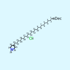 CCCCCCCCCCCCCCCCCCCCCCCCCCCCCCCCCc1cc[n+](C)cc1.[Cl-]